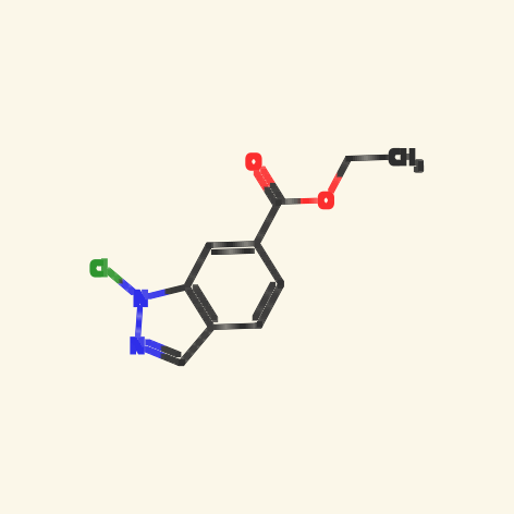 CCOC(=O)c1ccc2cnn(Cl)c2c1